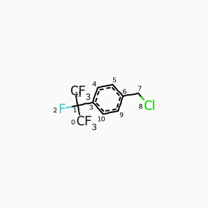 FC(F)(F)C(F)(c1ccc(CCl)cc1)C(F)(F)F